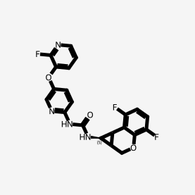 O=C(Nc1ccc(Oc2cccnc2F)cn1)N[C@@H]1C2COc3c(F)ccc(F)c3C21